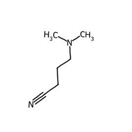 CN(C)CCCC#N